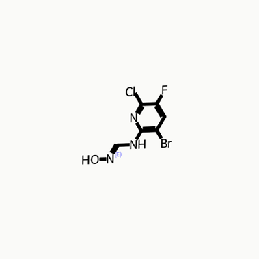 O/N=C/Nc1nc(Cl)c(F)cc1Br